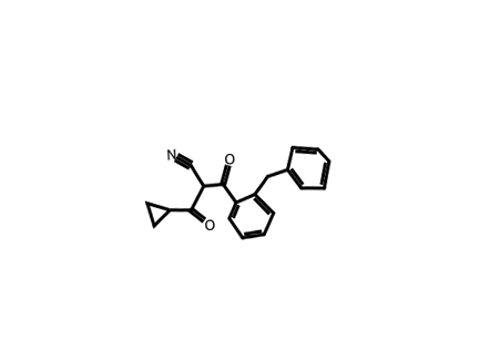 N#CC(C(=O)c1ccccc1Cc1ccccc1)C(=O)C1CC1